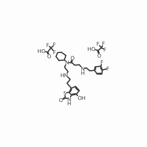 O=C(CCNCCc1ccc(F)c(F)c1)N(CCNCCc1ccc(O)c2[nH]c(=O)sc12)C1CCCCC1.O=C(O)C(F)(F)F.O=C(O)C(F)(F)F